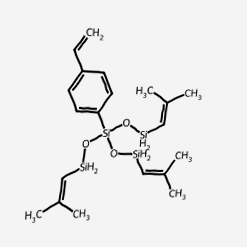 C=Cc1ccc([Si](O[SiH2]C=C(C)C)(O[SiH2]C=C(C)C)O[SiH2]C=C(C)C)cc1